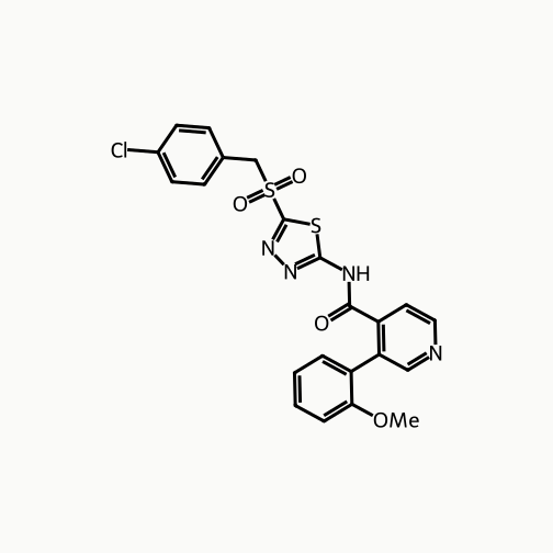 COc1ccccc1-c1cnccc1C(=O)Nc1nnc(S(=O)(=O)Cc2ccc(Cl)cc2)s1